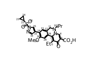 CCc1c2n(cc(C(=O)O)c1=O)N(C(C)C)Cc1cc(-c3cnn(S(=O)(=O)C4CC4)c3)c(OC)cc1-2